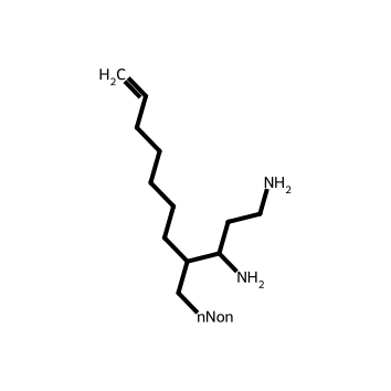 C=CCCCCCC(CCCCCCCCCC)C(N)CCN